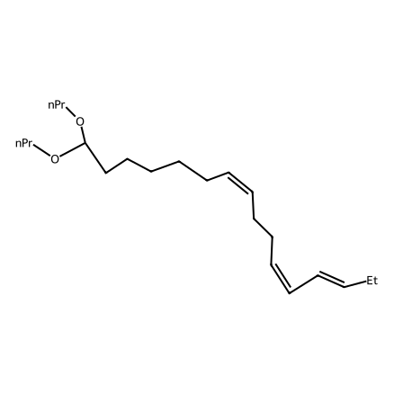 CC/C=C/C=C\CC/C=C\CCCCCC(OCCC)OCCC